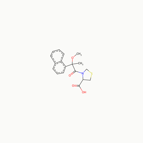 COC(C)(C(=O)N1CSCC1C(=O)O)c1cccc2ccccc12